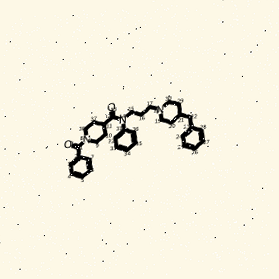 O=C(c1ccccc1)N1CCC(C(=O)N(CCCN2CCC(Cc3ccccc3)CC2)c2ccccc2)CC1